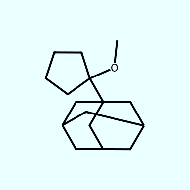 COC1(C23CC4CC(CC(C4)C2)C3)CCCC1